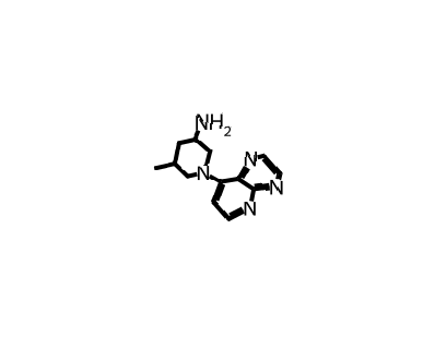 CC1CC(N)CN(c2ccnc3nccnc23)C1